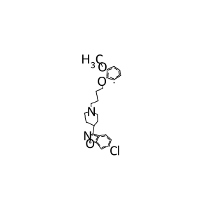 COc1ccc[c]c1OCCCCN1CCC(c2noc3cc(Cl)ccc23)CC1